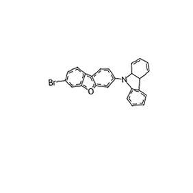 Brc1ccc2c(c1)oc1cc(N3c4ccccc4C4C=CC=CC43)ccc12